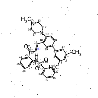 Cc1cc(C)cc(-c2ccc(N3CCN(C)CC3)c(/C=C/C(=O)c3ccccc3NS(=O)(=O)c3ccccc3)c2)c1